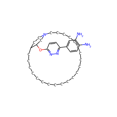 Nc1ccc(-c2ccc(OC3CN4CCCCCCCCCCCCCCCCCCCCCC3CC4)nn2)cc1N